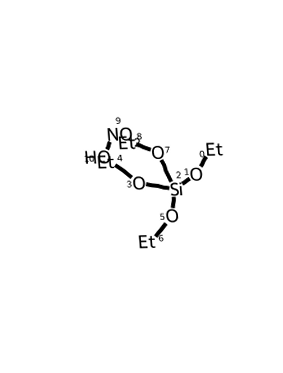 CCO[Si](OCC)(OCC)OCC.O=[N+]([O-])O